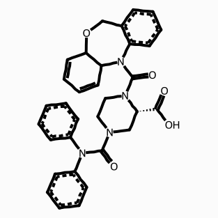 O=C(O)[C@@H]1CN(C(=O)N(c2ccccc2)c2ccccc2)CCN1C(=O)N1c2ccccc2COC2C=CC=CC21